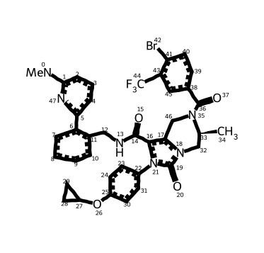 CNc1cccc(-c2ccccc2CNC(=O)c2c3n(c(=O)n2-c2ccc(OC4CC4)cc2)C[C@H](C)N(C(=O)c2ccc(Br)c(C(F)(F)F)c2)C3)n1